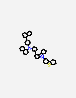 c1cc(-c2cccc3c2c2ccccc2n3-c2ccc3sc4ccccc4c3c2)cc(N(c2ccc(-c3cccc4ccccc34)cc2)c2cccc3ccccc23)c1